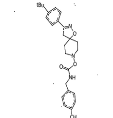 Cc1ccc(CNC(=O)ON2CCC3(CC2)CC(c2ccc(C(C)(C)C)cc2)=NO3)cc1